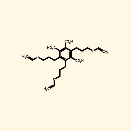 C=COCCCc1c(CCCOC=C)c(C(=O)O)c(C(=O)O)c(CCCOC=C)c1C(=O)O